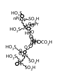 CCCOC(=O)c1cc(C(=O)NC2CCN(c3nc(N4CCC(CC(=O)c5cc(C(=O)OCCCS(=O)(=O)O)c6c(c5)N(CCCS(=O)(=O)O)/C(=C/C=C/C5=[N+](CCCS(=O)(=O)O)c7ccccc7C5(C)CCCS(=O)(=O)O)C6(C)C)CC4)nc(N4CCC(C(=O)O)CC4)n3)CC2)cc2c1C(C)(C)/C(=C\C=C\C1=[N+](CCCS(=O)(=O)O)c3ccc(S(=O)(=O)O)cc3C1(C)CCC)N2CCCS(=O)(=O)O